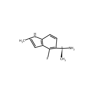 Cc1cc2c(F)c([C@H](C)N)ccc2[nH]1